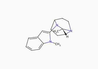 C[C@H]1N2CCCC(CC2)N1c1cc2ccccc2n1C